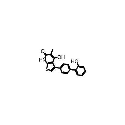 Cc1c(O)c2c(-c3ccc(-c4ccccc4O)cc3)csc2[nH]c1=O